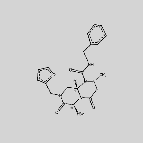 CCCC[C@H]1C(=O)N(Cc2ccco2)C[C@H]2N1C(=O)CN(C)N2C(=O)NCc1ccccc1